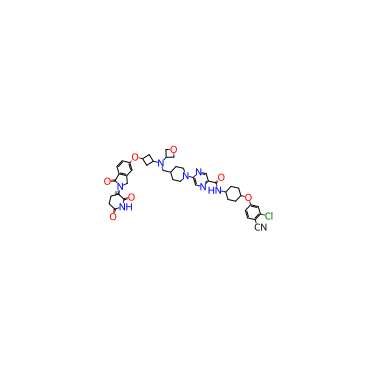 N#Cc1ccc(OC2CCC(NC(=O)c3cnc(N4CCC(CN(C5COC5)C5CC(Oc6ccc7c(c6)CN([C@@H]6CCC(=O)NC6=O)C7=O)C5)CC4)cn3)CC2)cc1Cl